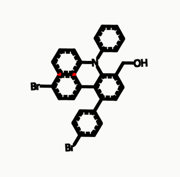 OCc1ccc(-c2ccc(Br)cc2)c(-c2ccc(Br)cc2)c1N(c1ccccc1)c1ccccc1